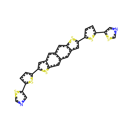 c1ncc(-c2ccc(-c3cc4cc5cc6sc(-c7ccc(-c8cncs8)s7)cc6cc5cc4s3)s2)s1